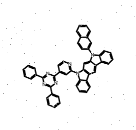 c1ccc(-c2nc(-c3ccccc3)nc(-c3ccnc(-n4c5ccccc5c5cc6c7ccccc7n(-c7ccc8ccccc8c7)c6cc54)c3)n2)cc1